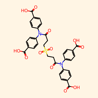 O=C(O)c1ccc(N(C(=O)CCS(=O)(=O)CCC(=O)N(c2ccc(C(=O)O)cc2)c2ccc(C(=O)O)cc2)c2ccc(C(=O)O)cc2)cc1